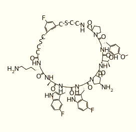 COc1ccc(C[C@@H]2NC(=O)[C@@H]([C@H](C)O)NC(=O)[C@H]3C[C@@H](N)CN3C(=O)[C@H](Cc3c[nH]c4ccc(F)cc34)NC(=O)[C@H](Cc3c[nH]c4ccc(F)cc34)NC(=O)[C@@H](C)NC(=O)[C@H](CCCCN)NC(=O)CCSCc3cc(F)cc(c3)CSCCNC(=O)[C@]3(C)CCCN3C2=O)cc1